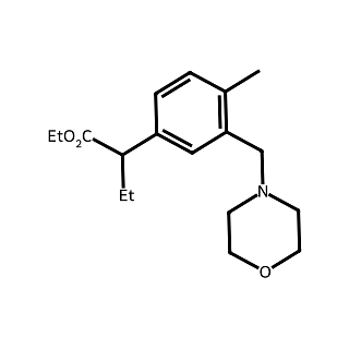 CCOC(=O)C(CC)c1ccc(C)c(CN2CCOCC2)c1